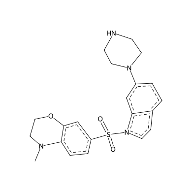 CN1CCOc2cc(S(=O)(=O)n3ccc4ccc(N5CCNCC5)cc43)ccc21